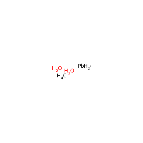 C.O.O.[PbH2]